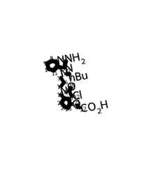 CCCCc1nc2c(N)nc3ccccc3c2n1CCCN(Cc1cccc(OCC(=O)O)c1)C(=O)CCl